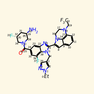 CCn1cc(Cn2c(-c3cc4cccc5c4n3CCN5CC(F)(F)F)nc3cc(C(=O)N4C[C@H](N)C[C@@H](F)C4)cc(F)c32)cn1